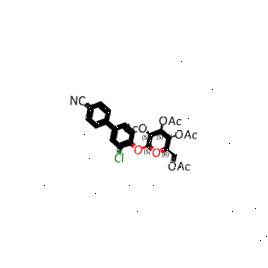 CC(=O)OC[C@H]1O[C@@H](Oc2ccc(-c3ccc(C#N)cc3)cc2Cl)[C@@H](OC(C)=O)[C@@H](OC(C)=O)[C@@H]1OC(C)=O